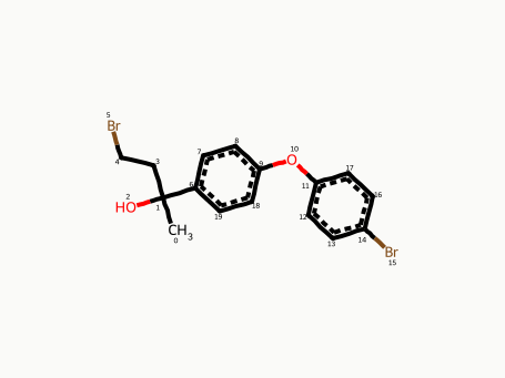 CC(O)(CCBr)c1ccc(Oc2ccc(Br)cc2)cc1